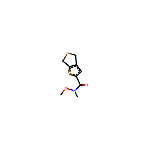 CON(C)C(=O)c1cc2c(s1)CSC2